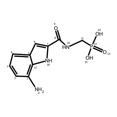 Nc1cccc2cc(C(=O)NCP(=O)(O)O)[nH]c12